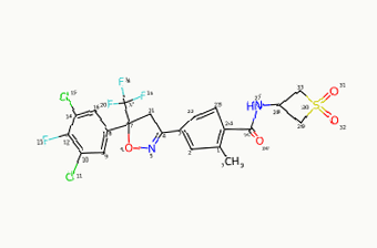 Cc1cc(C2=NOC(c3cc(Cl)c(F)c(Cl)c3)(C(F)(F)F)C2)ccc1C(=O)NC1CS(=O)(=O)C1